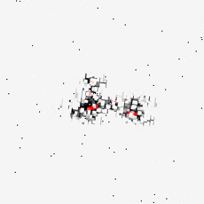 CCOC(=O)N(C)[C@H]1C(CO)O[C@@H]2C(OC2(OC(=O)[C@]23CCC(C)(C)CC2C2=CCC4C5(C)CC[C@H](O[C@@H]6OC(C(=O)O)[C@@H](O)[C@H](O[C@@H]7OC[C@@H](O)[C@H](O)C7O)C6O[C@@H]6OC(CO)[C@H](O)[C@H](O)C6O)[C@](C)(C=O)[C@@H]5CC[C@]4(C)[C@]2(C)CC3O)[C@@H]2OC(C)[C@H](O[C@@H]3OC[C@@H](O)C(O[C@@H]4OC[C@](O)(CC)C4O)C3O)C(O)C2O)C1O